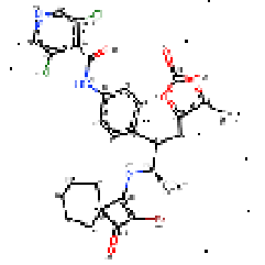 Cc1oc(=O)oc1CC(c1ccc(NC(=O)c2c(Cl)cncc2Cl)cc1)[C@H](NC1=C(Br)C(=O)C12CCCCC2)C(=O)O